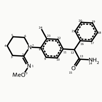 CON=C1CCCCN1c1ccc(C(C(N)=O)c2ccccc2)cc1C